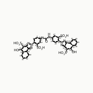 O=C(Nc1ccc(-n2nc3c(S(=O)(=O)O)c(O)c4ccccc4c3n2)c(S(=O)(=O)O)c1)Nc1ccc(-n2nc3c(S(=O)(=O)O)c(O)c4ccccc4c3n2)c(S(=O)(=O)O)c1